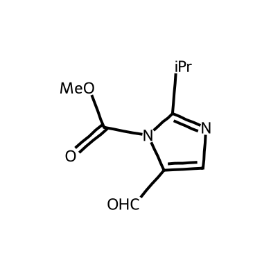 COC(=O)n1c(C=O)cnc1C(C)C